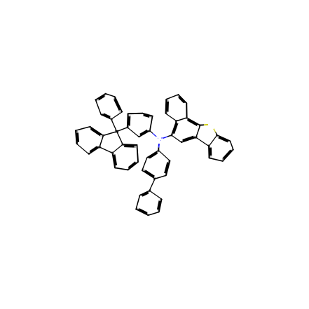 c1ccc(-c2ccc(N(c3cccc(C4(c5ccccc5)c5ccccc5-c5ccccc54)c3)c3cc4c5ccccc5sc4c4ccccc34)cc2)cc1